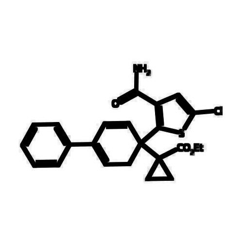 CCOC(=O)C1(C2(c3sc(Cl)cc3C(N)=O)C=CC(c3ccccc3)=CC2)CC1